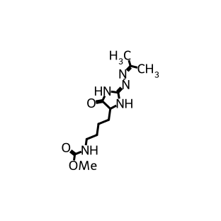 COC(=O)NCCCCC1N/C(=N/N=C(C)C)NC1=O